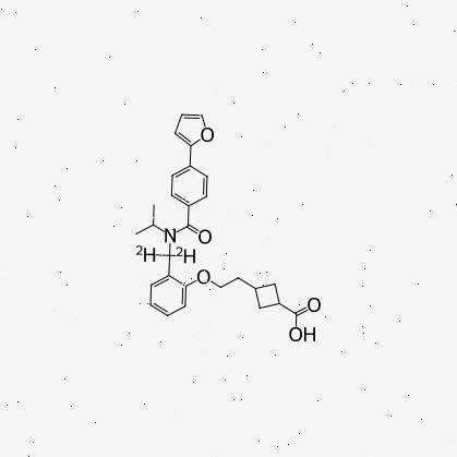 [2H]C([2H])(c1ccccc1OCCC1CC(C(=O)O)C1)N(C(=O)c1ccc(-c2ccco2)cc1)C(C)C